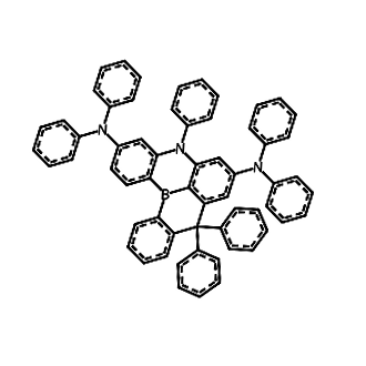 c1ccc(N(c2ccccc2)c2ccc3c(c2)N(c2ccccc2)c2cc(N(c4ccccc4)c4ccccc4)cc4c2B3c2ccccc2C4(c2ccccc2)c2ccccc2)cc1